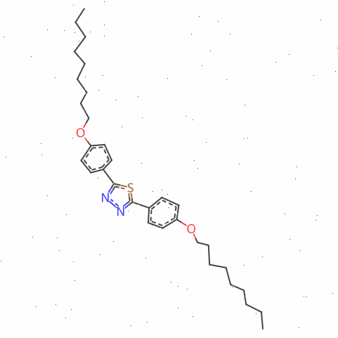 CCCCCCCCCOc1ccc(-c2nnc(-c3ccc(OCCCCCCCCC)cc3)s2)cc1